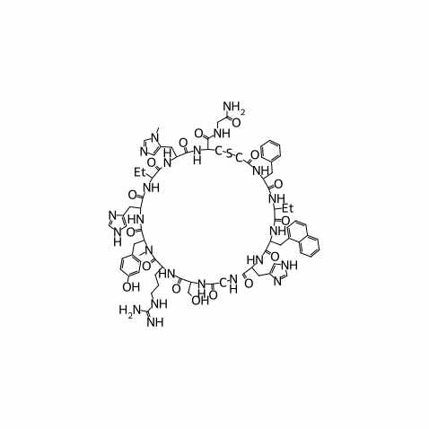 CCC1NC(=O)C(Cc2ccccc2)NC(=O)CSCC(C(=O)NCC(N)=O)NC(=O)C(Cc2cncn2C)NC(=O)C(CC)NC(=O)C(Cc2c[nH]cn2)NC(=O)C(Cc2ccc(O)cc2)N(C)C(=O)C(CCCNC(=N)N)NC(=O)C(CO)NC(=O)CNC(=O)C(Cc2c[nH]cn2)NC(=O)C(Cc2cccc3ccccc23)NC1=O